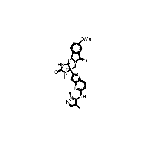 COc1ccc2c(c1)C(=O)N(C[C@@]1(c3cc4nc(Nc5c(C)cnn5C)ccc4o3)NC(=O)NC1=O)C2